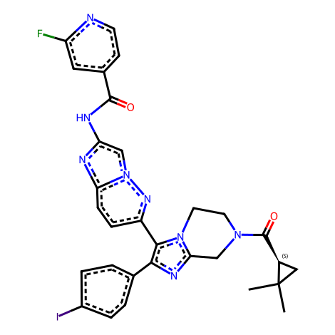 CC1(C)C[C@@H]1C(=O)N1CCn2c(nc(-c3ccc(I)cc3)c2-c2ccc3nc(NC(=O)c4ccnc(F)c4)cn3n2)C1